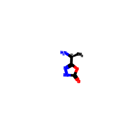 C[C@@H](N)c1n[nH]c(=O)o1